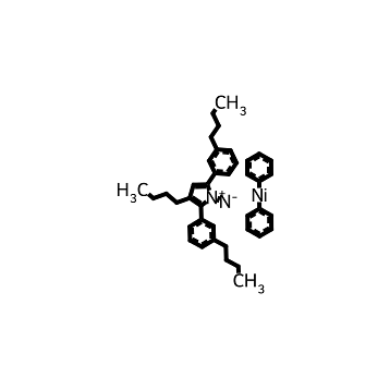 CCCCC1=C(c2cccc(CCCC)c2)[N+](=[N-])C(c2cccc(CCCC)c2)=C1.c1cc[c]([Ni][c]2ccccc2)cc1